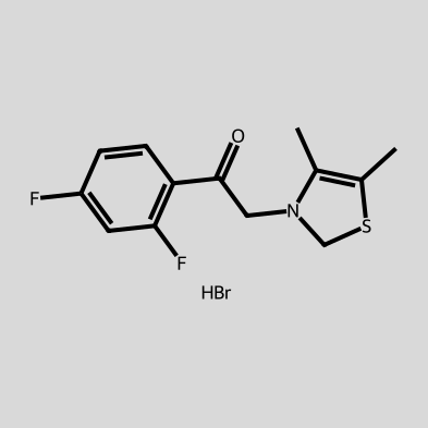 Br.CC1=C(C)N(CC(=O)c2ccc(F)cc2F)CS1